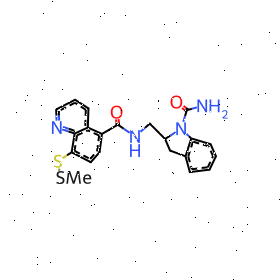 CSSc1ccc(C(=O)NCC2Cc3ccccc3N2C(N)=O)c2cccnc12